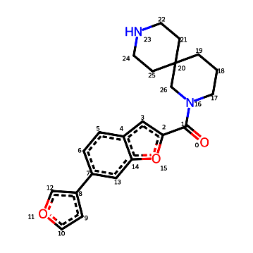 O=C(c1cc2ccc(-c3ccoc3)cc2o1)N1CCCC2(CCNCC2)C1